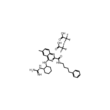 Cc1ccc2nc(C(=O)NCCCCc3ccccc3)nc(NC3CCCCC3NC(=N)N)c2c1.O=C(O)C(F)(F)F.O=C(O)C(F)(F)F